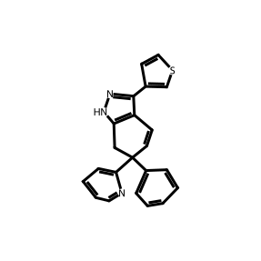 C1=CC(c2ccccc2)(c2ccccn2)Cc2[nH]nc(-c3ccsc3)c21